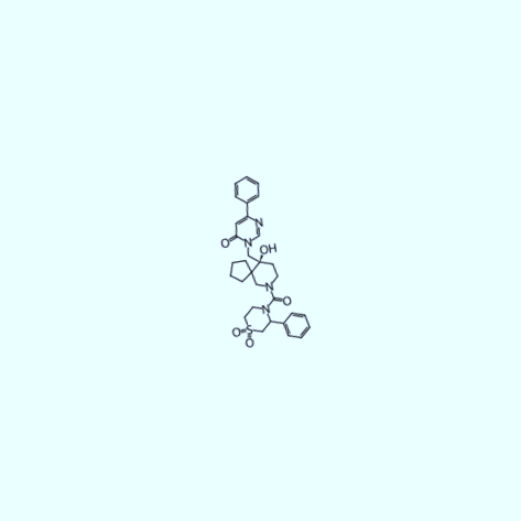 O=C(N1CC[C@@](O)(Cn2cnc(-c3ccccc3)cc2=O)C2(CCCC2)C1)N1CCS(=O)(=O)CC1c1ccccc1